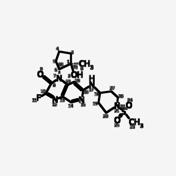 C[C@@]1(O)CCC[C@H]1n1c(=O)c(F)nc2cnc(NC3CCN(S(C)(=O)=O)CC3)cc21